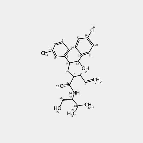 C=CCC(CC(c1cccc(Cl)c1)C(O)c1ccc(Cl)cc1)C(=O)N[C@H](CO)C(C)C